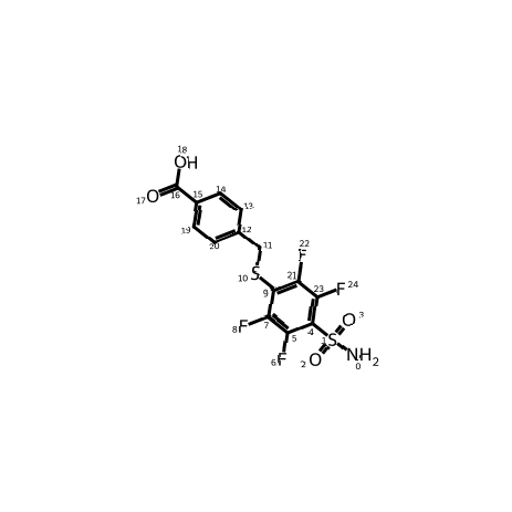 NS(=O)(=O)c1c(F)c(F)c(SCc2ccc(C(=O)O)cc2)c(F)c1F